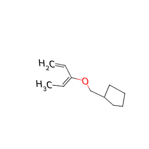 C=CC(=CC)OCC1CCCC1